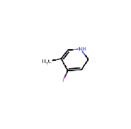 CC1=CNCC=C1I